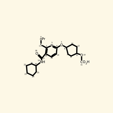 CCCSc1nc(OC2CCC(OC(=O)O)CC2)ccc1C(=O)NC1CCCCC1